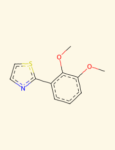 COc1cccc(-c2nccs2)c1OC